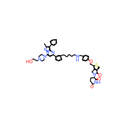 Cc1nn2c(N3CCN(CCO)CC3)cc(-c3cccc(CCCCCNCc4ccc(OCc5scc6c5CN(C5CCC(=O)NC5=O)C6=O)cc4)c3)nc2c1-c1ccccc1